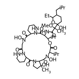 CCC1OC(O)(C(C)(OC)C(=O)NC2C(=O)N3NCCCC3C(=O)N(O)CC(=O)N3NCCCC3C(=O)N3CCC(C)(O)C3C(=O)N(O)C(C(C)C)C(=O)OC2C(C)C)CCC1CC(C)C